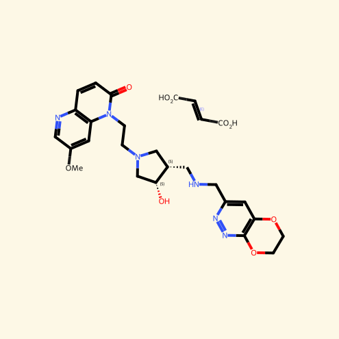 COc1cnc2ccc(=O)n(CCN3C[C@H](CNCc4cc5c(nn4)OCCO5)[C@H](O)C3)c2c1.O=C(O)/C=C/C(=O)O